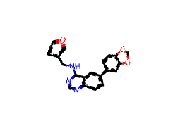 c1nc(NCc2ccoc2)c2cc(-c3ccc4c(c3)OCO4)ccc2n1